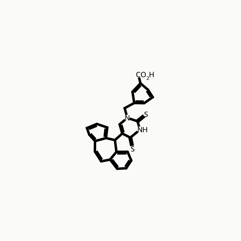 O=C(O)c1cccc(Cn2cc(C3c4ccccc4C=Cc4ccccc43)c(=S)[nH]c2=S)c1